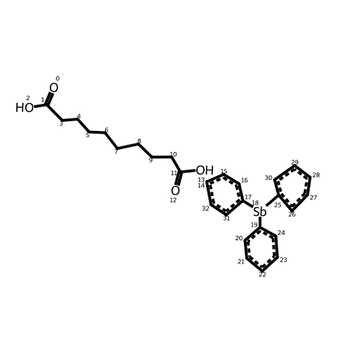 O=C(O)CCCCCCCCC(=O)O.c1cc[c]([Sb]([c]2ccccc2)[c]2ccccc2)cc1